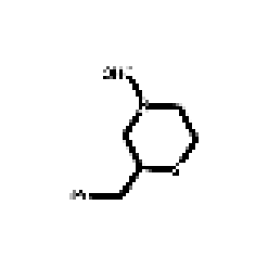 CC(C)CC1CN(C=O)CCS1